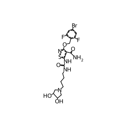 NC(=O)c1c(OCc2c(F)cc(Br)cc2F)nsc1NC(=O)NCCCCN1CC(O)C(O)C1